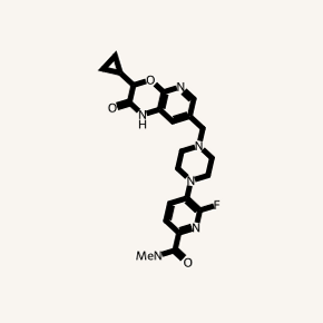 CNC(=O)c1ccc(N2CCN(Cc3cnc4c(c3)NC(=O)C(C3CC3)O4)CC2)c(F)n1